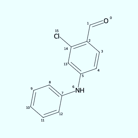 O=Cc1ccc(Nc2ccccc2)cc1Cl